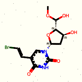 COC(O)[C@H]1O[C@@H](n2cc(C=CBr)c(=O)[nH]c2=O)C[C@@H]1O